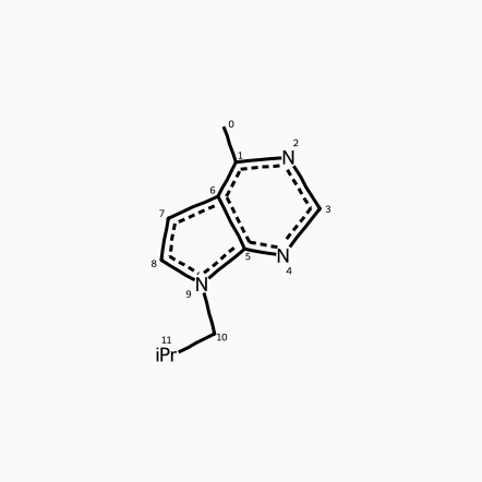 Cc1ncnc2c1ccn2CC(C)C